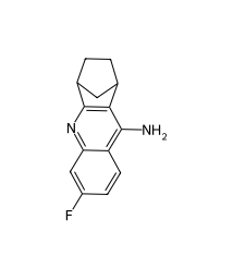 Nc1c2c(nc3cc(F)ccc13)C1CCC2C1